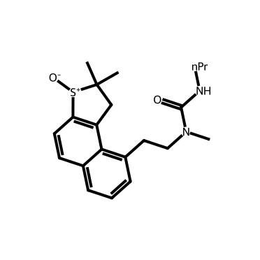 CCCNC(=O)N(C)CCc1cccc2ccc3c(c12)CC(C)(C)[S+]3[O-]